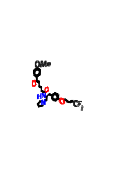 COc1ccc(C(=O)CCCCC(=O)N[C@@H](Cc2ccc(OCCCC(F)(F)F)cc2)CN2CCCC2)cc1